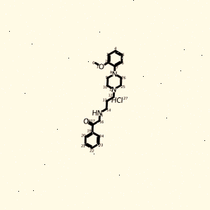 COc1ccccc1N1CCN(CCCNCC(=O)c2ccccc2)CC1.Cl